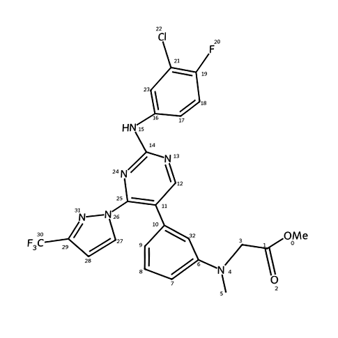 COC(=O)CN(C)c1cccc(-c2cnc(Nc3ccc(F)c(Cl)c3)nc2-n2ccc(C(F)(F)F)n2)c1